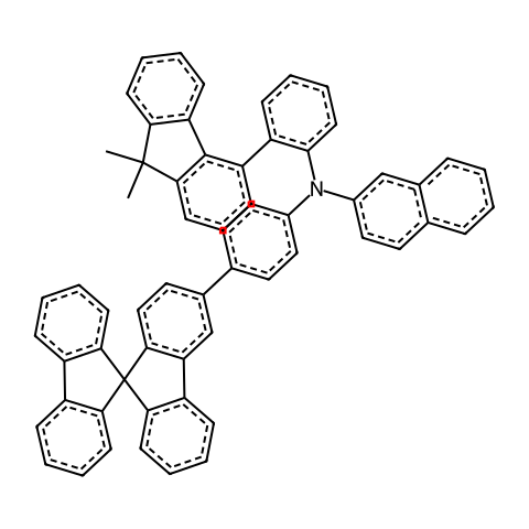 CC1(C)c2ccccc2-c2c(-c3ccccc3N(c3ccc(-c4ccc5c(c4)-c4ccccc4C54c5ccccc5-c5ccccc54)cc3)c3ccc4ccccc4c3)cccc21